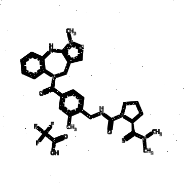 Cc1cc(C(=O)N2Cc3cnn(C)c3Nc3ccccc32)ccc1CNC(=O)N1CCC[C@H]1C(=S)N(C)C.O=C(O)C(F)(F)F